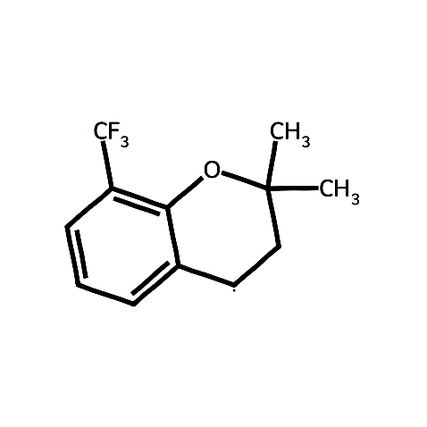 CC1(C)C[CH]c2cccc(C(F)(F)F)c2O1